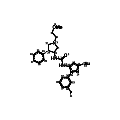 COCCN1C[C@@H](NC(=O)Nc2cc(C(C)(C)C)nn2-c2cccc(F)c2)[C@H](c2ccccc2)C1